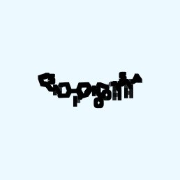 O=C1O[C@@H](CNC(=S)NC2CC2)CN1c1ccc(C2CCN(Cc3cccs3)CC2)c(F)c1